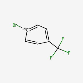 FC(F)(F)c1cc[14c](Br)cc1